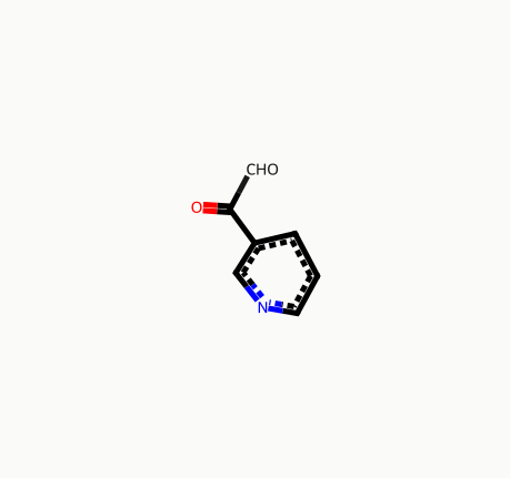 O=CC(=O)c1cccnc1